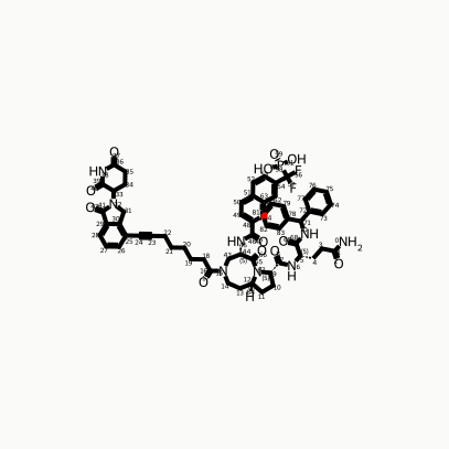 NC(=O)CC[C@H](NC(=O)[C@@H]1CC[C@@H]2CCN(C(=O)CCCCCC#Cc3cccc4c3CN(C3CCC(=O)NC3=O)C4=O)C[C@H](NC(=O)c3ccc4ccc(C(F)(F)P(=O)(O)O)cc4n3)C(=O)N21)C(=O)NC(c1ccccc1)c1ccccc1